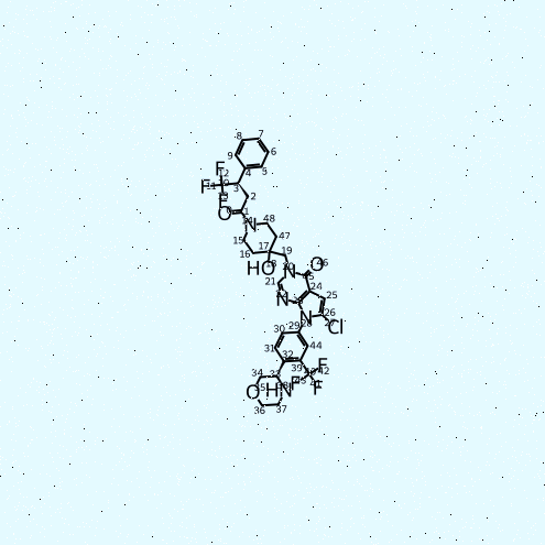 O=C(C[C@H](c1ccccc1)C(F)(F)F)N1CCC(O)(Cn2cnc3c(cc(Cl)n3-c3ccc([C@@H]4COCCN4)c(C(F)(F)F)c3)c2=O)CC1